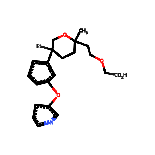 CCC1(c2cccc(Oc3cccnc3)c2)CCC(C)(CCOCC(=O)O)OC1